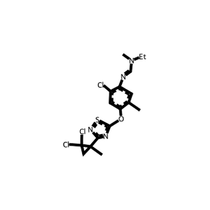 CCN(C)C=Nc1cc(C)c(Oc2nc(C3(C)CC3(Cl)Cl)ns2)cc1Cl